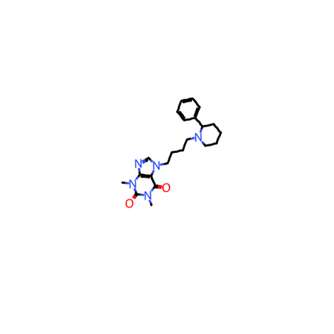 Cn1c(=O)c2c(ncn2CCCCN2CCCCC2c2ccccc2)n(C)c1=O